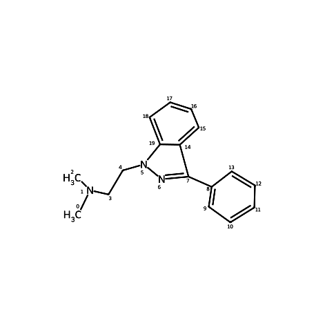 CN(C)CCn1nc(-c2ccccc2)c2ccccc21